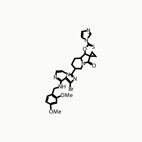 COc1ccc(CNc2nccn3c(C4CCC5C(OC(=S)n6ccnc6)C6(CC6)C(=O)N5C4)nc(Br)c23)c(OC)c1